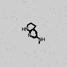 CNc1cnc2c(c1)CCCN2